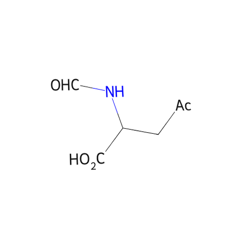 CC(=O)CC(NC=O)C(=O)O